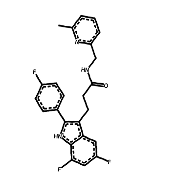 Cc1cccc(CNC(=O)CCc2c(-c3ccc(F)cc3)[nH]c3c(F)cc(F)cc23)n1